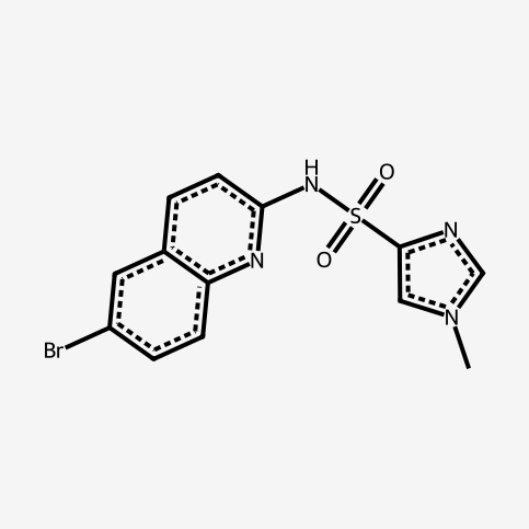 Cn1cnc(S(=O)(=O)Nc2ccc3cc(Br)ccc3n2)c1